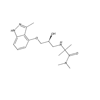 Cc1n[nH]c2cccc(OC[C@@H](O)CNC(C)(C)C(=O)N(C)C)c12